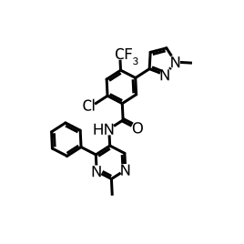 Cc1ncc(NC(=O)c2cc(-c3ccn(C)n3)c(C(F)(F)F)cc2Cl)c(-c2ccccc2)n1